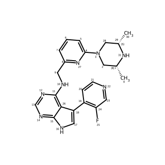 C[C@@H]1CN(c2cccc(CNc3ncnc4[nH]cc(-c5ccncc5F)c34)n2)C[C@H](C)N1